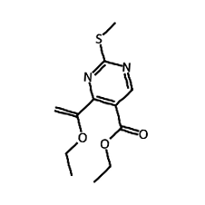 C=C(OCC)c1nc(SC)ncc1C(=O)OCC